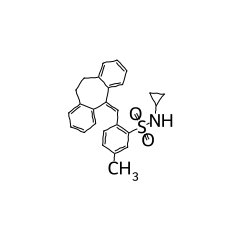 Cc1ccc(C=C2c3ccccc3CCc3ccccc32)c(S(=O)(=O)NC2CC2)c1